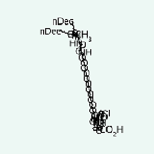 CCCCCCCCCCCCCCCCOC[C@H](CN(C)CCCNC(=O)CCC(=O)NCCOCCOCCOCCOCCOCCOCCOCCOCCOCCOCCOCCOCCC(=O)NCCC1(C(=O)NC(Cc2ccc(NC(=O)c3c(Cl)cccc3Cl)cc2)C(=O)O)CCCC1)OCCCCCCCCCCCCCCCC